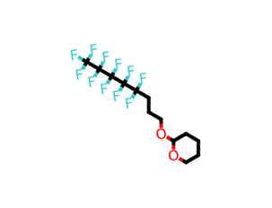 FC(F)(F)C(F)(F)C(F)(F)C(F)(F)C(F)(F)CCCOC1CCCCO1